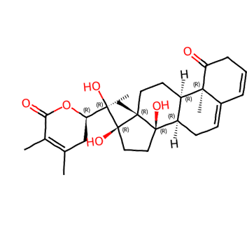 CC1=C(C)C(=O)O[C@@H]([C@@](C)(O)[C@@]2(O)CC[C@@]3(O)[C@@H]4CC=C5C=CCC(=O)[C@]5(C)[C@@H]4CC[C@@]23C)C1